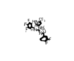 O=C(/N=C(/NCc1cc(F)c(F)c(F)c1)Nc1cc(C(F)(F)F)[nH]n1)c1ccc(F)c(F)c1